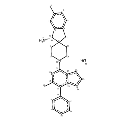 Cc1cc2c(cn1)CC1(CCN(c3nc(C)c(-c4ccccc4)n4nccc34)CC1)[C@@H]2N.Cl